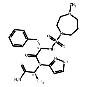 C[C@@H](C(N)=O)N(C(=O)[C@H](Cc1ccccc1)NS(=O)(=O)N1CCCN(C)CC1)c1cc[nH]n1